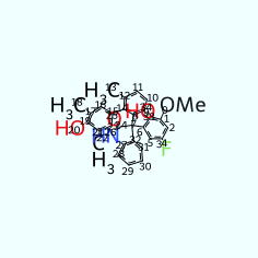 COc1cc(F)cc(C2(c3cccc(C)c3-c3cc(C)c(O)c(C)c3)C(=O)Nc3ccccc32)c1O